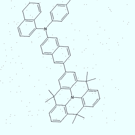 CC(C)(C)c1ccc(N(c2ccc3cc(-c4cc5c6c(c4)C(C)(C)c4cccc7c4N6c4c(cccc4C5(C)C)C7(C)C)ccc3c2)c2cccc3c2C=CCC3)cc1